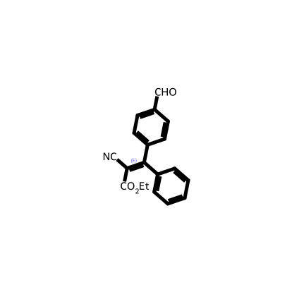 CCOC(=O)/C(C#N)=C(\c1ccccc1)c1ccc(C=O)cc1